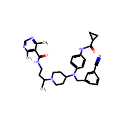 Cc1ncnc(C)c1C(=O)NCCC(C)N1CCC(N(Cc2cccc(C#N)c2)c2ccc(NC(=O)C3CC3)cc2)CC1